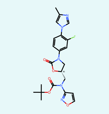 Cc1cn(-c2ccc(N3C[C@H](CN(C(=O)OC(C)(C)C)c4ccon4)OC3=O)cc2F)cn1